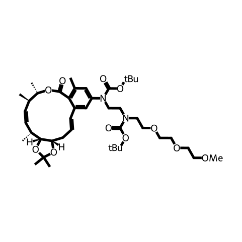 COCCOCCOCCN(CCN(C(=O)OC(C)(C)C)c1cc(C)c2c(c1)/C=C/C[C@@H]1OC(C)(C)O[C@@H]1[C@H](C)/C=C\[C@@H](C)[C@H](C)OC2=O)C(=O)OC(C)(C)C